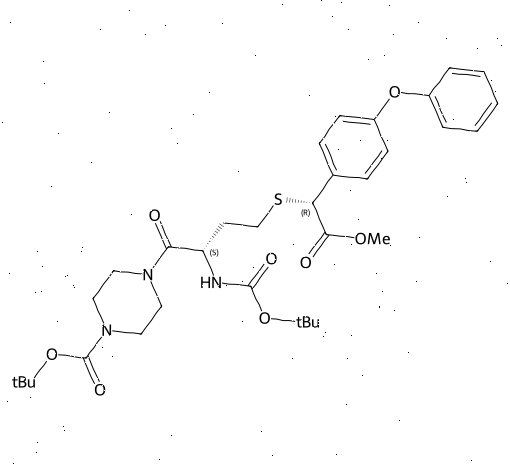 COC(=O)[C@H](SCC[C@H](NC(=O)OC(C)(C)C)C(=O)N1CCN(C(=O)OC(C)(C)C)CC1)c1ccc(Oc2ccccc2)cc1